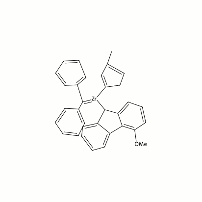 COc1cccc2c1-c1ccccc1[CH]2[Zr]([C]1=CC(C)=CC1)=[C](c1ccccc1)c1ccccc1